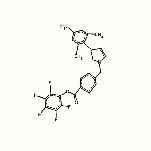 Cc1cc(C)c(N2C=CN(Cc3ccc(C(=O)Oc4c(F)c(F)c(F)c(F)c4F)cc3)C2)c(C)c1